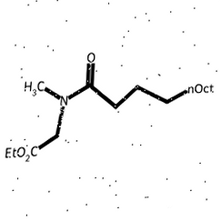 CCCCCCCCCCCC(=O)N(C)CC(=O)OCC